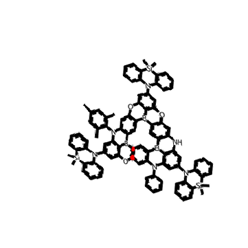 Cc1cc(C)c(N2c3cc4c(cc3B3c5ccccc5Oc5cc(N6c7ccccc7[Si](C)(C)c7ccccc76)cc2c53)B2c3cc5c(cc3Oc3cc(N6c7ccccc7[Si](C)(C)c7ccccc76)cc(c32)O4)Nc2cc(N3c4ccccc4[Si](C)(C)c4ccccc43)cc3c2B5c2ccccc2N3c2ccccc2)c(C)c1